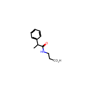 CC(C(=O)NCCC(=O)O)c1ccccc1